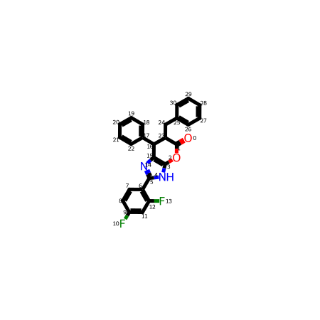 O=C1Oc2[nH]c(-c3ccc(F)cc3F)nc2C(c2ccccc2)C1Cc1ccccc1